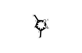 [CH2]c1cc(C)no1